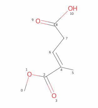 COC(=O)C(C)=CCC(=O)O